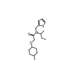 CCC(C)N(Cc1cccs1)C(=O)COC1CCC(C)CC1